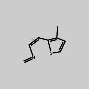 C=N/C=C\c1sccc1C